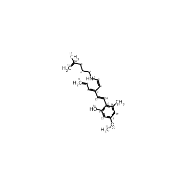 C=C/C=C(\C=C/NCCCC(=C)C)/C=C/c1c(C)cc(OC)cc1O